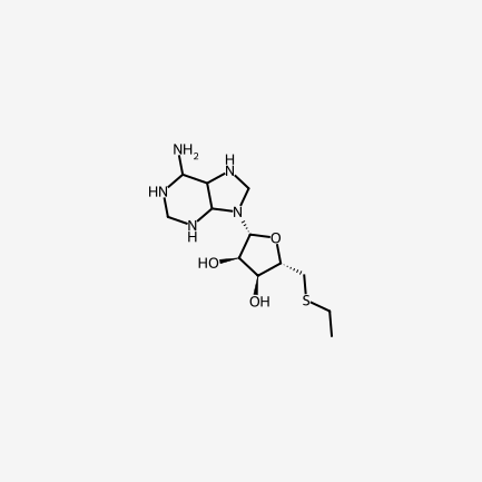 CCSC[C@H]1O[C@@H](N2CNC3C(N)NCNC32)[C@H](O)[C@@H]1O